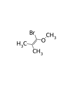 COC(Br)=C(C)C